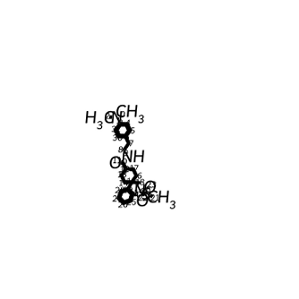 CN(C)c1ccc(CCNC(=O)C2CCC3(CC2)CN(S(C)(=O)=O)c2ccccc23)cc1